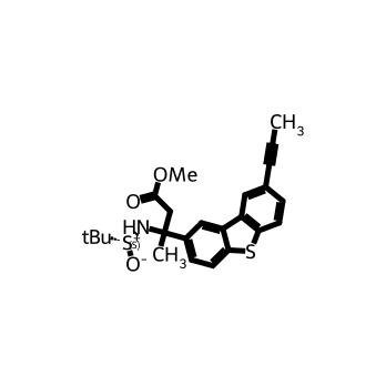 CC#Cc1ccc2sc3ccc(C(C)(CC(=O)OC)N[S@+]([O-])C(C)(C)C)cc3c2c1